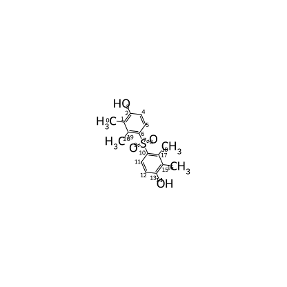 Cc1c(O)ccc(S(=O)(=O)c2ccc(O)c(C)c2C)c1C